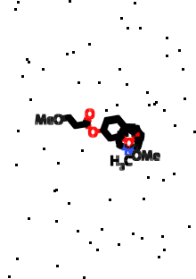 COCCC(=O)O[C@H]1C=C[C@@]23CCN(C)Cc4ccc(OC)c(c42)O[C@H]3C1